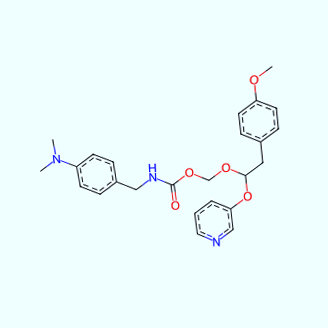 COc1ccc(CC(OCOC(=O)NCc2ccc(N(C)C)cc2)Oc2cccnc2)cc1